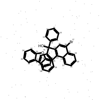 OC(c1ccccc1)(c1ccccc1)c1cc(Br)c2ccccc2c1-c1cccc2c1oc1ccccc12